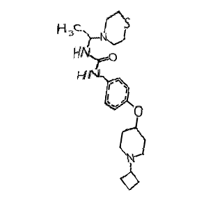 CC(NC(=O)Nc1ccc(OC2CCN(C3CCC3)CC2)cc1)N1CCSCC1